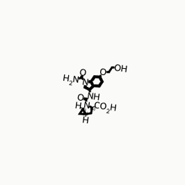 NC(=O)n1cc(NC(=O)N2[C@@H]3C[C@@H]3C[C@H]2C(=O)O)c2ccc(OCCO)cc21